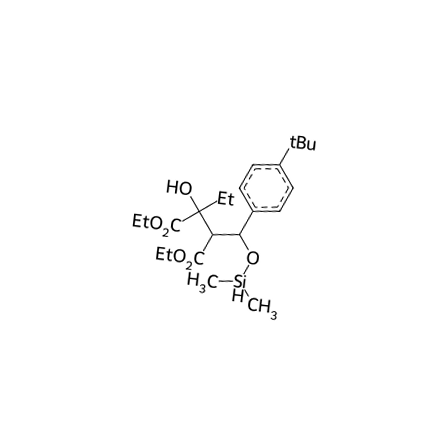 CCOC(=O)C(C(O[SiH](C)C)c1ccc(C(C)(C)C)cc1)C(O)(CC)C(=O)OCC